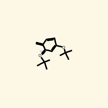 C=C1C=CC(OC(C)(C)C)=C/C1=[O+]\C(C)(C)C